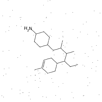 CCC(C1CC=C(C)CC1)C(C)C(C)CC1CCC(N)CC1